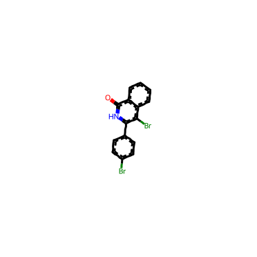 O=c1[nH]c(-c2ccc(Br)cc2)c(Br)c2ccccc12